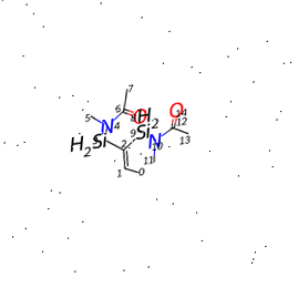 CC=C([SiH2]N(C)C(C)=O)[SiH2]N(C)C(C)=O